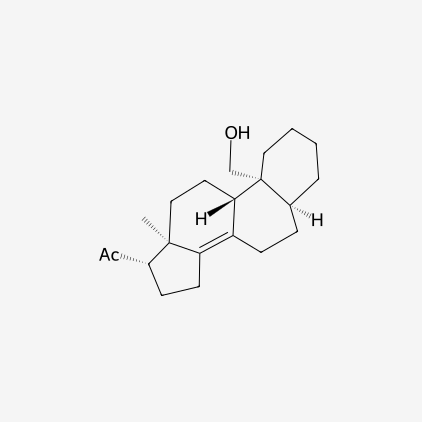 CC(=O)[C@H]1CCC2=C3CC[C@@H]4CCCC[C@]4(CO)[C@H]3CC[C@@]21C